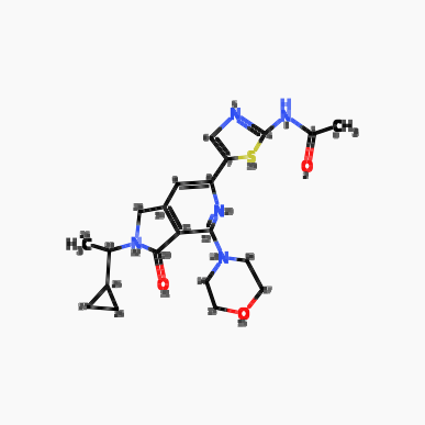 CC(=O)Nc1ncc(-c2cc3c(c(N4CCOCC4)n2)C(=O)N(C(C)C2CC2)C3)s1